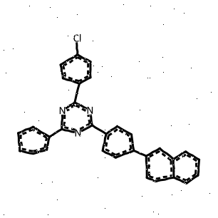 Clc1ccc(-c2nc(-c3ccccc3)nc(-c3ccc(-c4ccc5ccccc5c4)cc3)n2)cc1